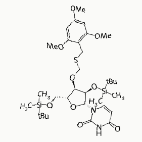 COc1cc(OC)c(CSCO[C@H]2[C@@H](O[Si](C)(C)C(C)(C)C)[C@H](n3ccc(=O)[nH]c3=O)O[C@@H]2CO[Si](C)(C)C(C)(C)C)c(OC)c1